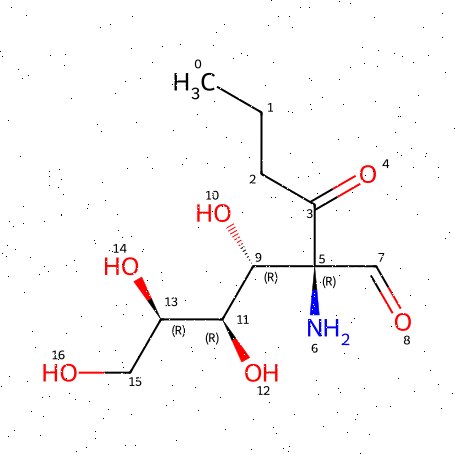 CCCC(=O)[C@](N)(C=O)[C@@H](O)[C@@H](O)[C@H](O)CO